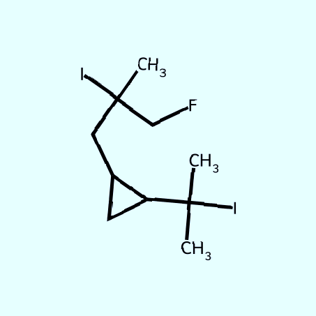 CC(I)(CF)CC1CC1C(C)(C)I